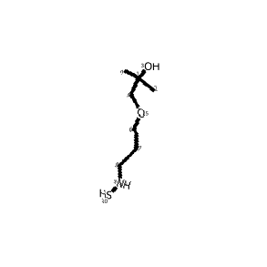 CC(C)(O)COCCCNS